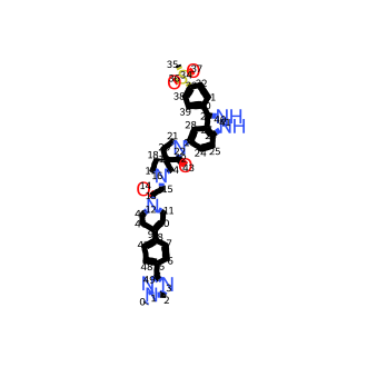 Cn1cnc(-c2ccc(C3=CCN(C(=O)CN4CC[C@]5(CCN(c6ccc7c(c6)C(c6ccc(S(C)(=O)=O)cc6)NN7)C5=O)C4)CC3)cc2)n1